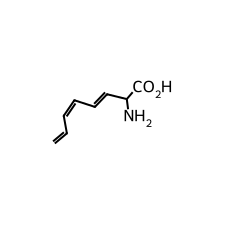 C=C/C=C\C=C\C(N)C(=O)O